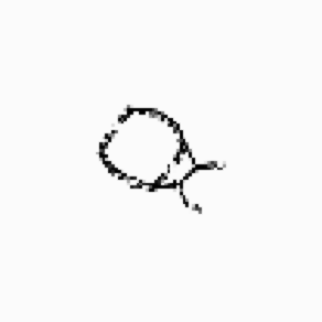 CC(C)N1C(=O)c2cccccccc1c2